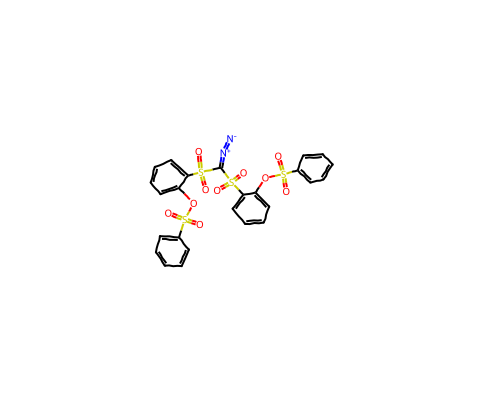 [N-]=[N+]=C(S(=O)(=O)c1ccccc1OS(=O)(=O)c1ccccc1)S(=O)(=O)c1ccccc1OS(=O)(=O)c1ccccc1